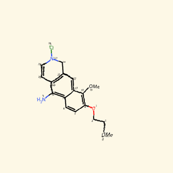 COCCOc1ccc2c(N)c3c(cc2c1OC)CN(Cl)C=C3